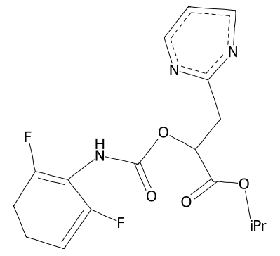 CC(C)OC(=O)C(Cc1ncccn1)OC(=O)NC1=C(F)CCC=C1F